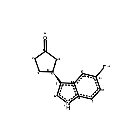 O=C1CC[C@H](c2c[nH]c3ccc(F)cc23)C1